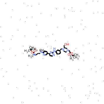 CN(CCCN(C)c1ccc(-c2ccnc(Nc3cccc(CN4CCN(CC(=O)OC(C)(C)C)CC4CO)c3)n2)cn1)C(=O)OC(C)(C)C